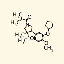 COc1ccc([C@@H]2CN(C(=O)C(C)C)C[C@@]2(C)[C@@H](C)O)cc1OC1CCCC1